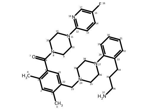 Cc1cc(C)c(C(=O)N2CCN(c3ccc(F)cn3)CC2)cc1CN1CCN(c2ccccc2CCCN)CC1